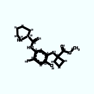 COC(=O)C1(Sc2cc(NC(=S)N3CCCCN3)c(F)cc2Cl)CCC1